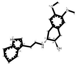 COc1cc2c(cc1OC)C[C@@H](NCCc1c[nH]c3ccccc13)[C@H](O)C2